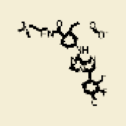 CCc1cc(Nc2nccn3c(-c4ccc(Cl)c(F)c4F)cnc23)ccc1C(=O)NCCC[N+](C)(C)C.O=C[O-]